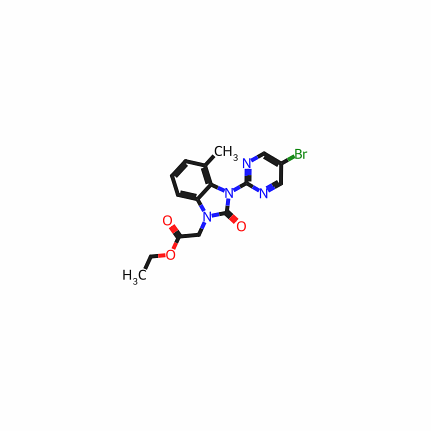 CCOC(=O)Cn1c(=O)n(-c2ncc(Br)cn2)c2c(C)cccc21